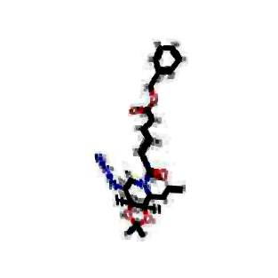 C=CCC1[C@@H]2OC(C)(C)O[C@@H]2[C@@H](N=[N+]=[N-])CN1C(=O)CCCCC(=O)OCc1ccccc1